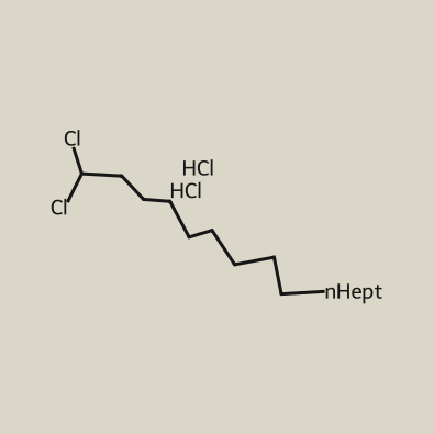 CCCCCCCCCCCCCCCC(Cl)Cl.Cl.Cl